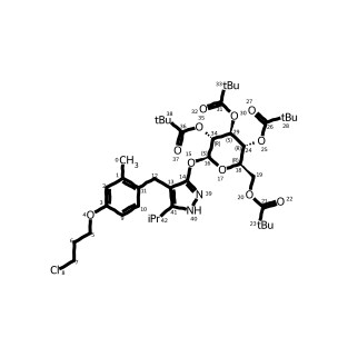 Cc1cc(OCCCCl)ccc1Cc1c(O[C@@H]2O[C@H](COC(=O)C(C)(C)C)[C@@H](OC(=O)C(C)(C)C)[C@H](OC(=O)C(C)(C)C)[C@H]2OC(=O)C(C)(C)C)n[nH]c1C(C)C